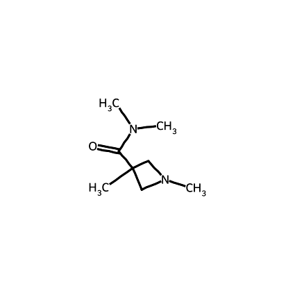 CN1CC(C)(C(=O)N(C)C)C1